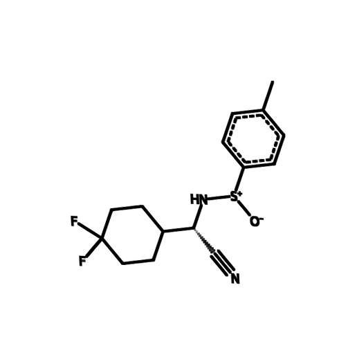 Cc1ccc([S+]([O-])N[C@H](C#N)C2CCC(F)(F)CC2)cc1